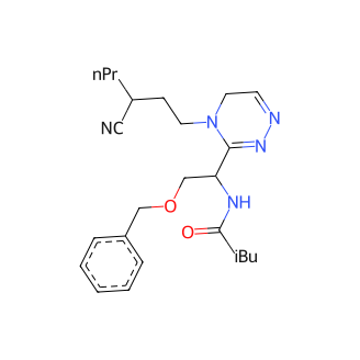 CCCC(C#N)CCN1CC=NN=C1C(COCc1ccccc1)NC(=O)C(C)CC